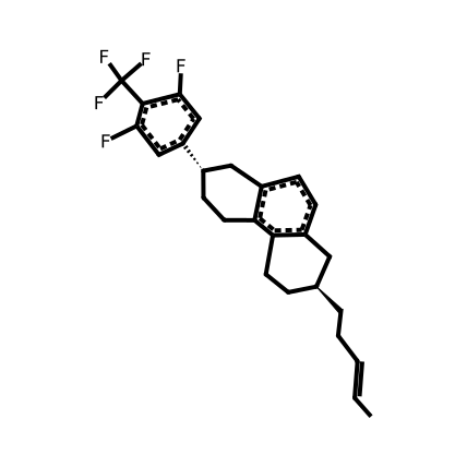 CC=CCC[C@H]1CCc2c(ccc3c2CC[C@H](c2cc(F)c(C(F)(F)F)c(F)c2)C3)C1